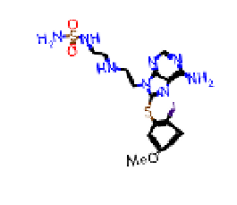 COc1ccc(I)c(Sc2nc3c(N)ncnc3n2CCNCCNS(N)(=O)=O)c1